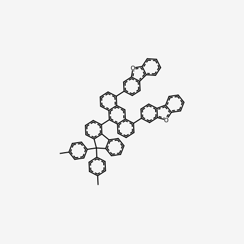 Cc1ccc(C2(c3ccc(C)cc3)c3ccccc3-c3c(-c4c5cccc(-c6ccc7c(c6)oc6ccccc67)c5cc5c(-c6ccc7c(c6)oc6ccccc67)cccc45)cccc32)cc1